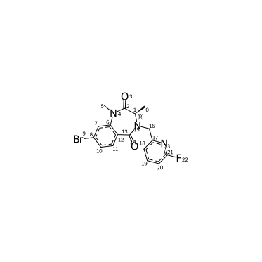 C[C@@H]1C(=O)N(C)c2cc(Br)ccc2C(=O)N1Cc1cccc(F)n1